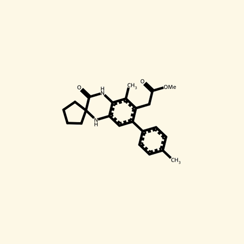 COC(=O)Cc1c(-c2ccc(C)cc2)cc2c(c1C)NC(=O)C1(CCCC1)N2